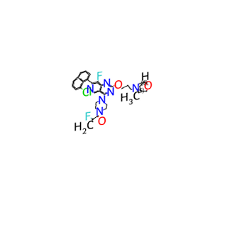 C=C(F)C(=O)N1CCN(c2nc(OCCCN3C[C@@H]4C[C@@]3(C)CO4)nc3c(F)c(-c4cccc5cccc(Cl)c45)ncc23)CC1